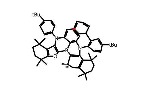 Cc1cc2c3c(c1)N(c1ccc(C(C)(C)C)cc1)c1c(oc4c1C(C)(C)CCC4(C)C)B3C1=C(C3=C(C[C@H]1C)C(C)(C)CCC3(C)C)N2c1ccc(C(C)(C)C)cc1C1C=CC=CC1